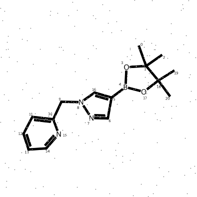 CC1(C)OB(c2cnn(Cc3ccccn3)c2)OC1(C)C